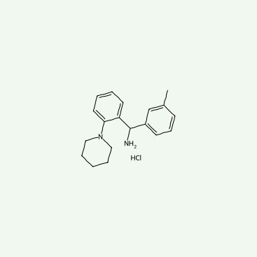 Cc1cccc(C(N)c2ccccc2N2CCCCC2)c1.Cl